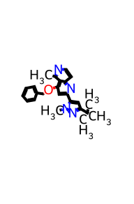 Cc1nccc2nc(-c3cc(C(C)(C)C)nn3C)cc(OCc3ccccc3)c12